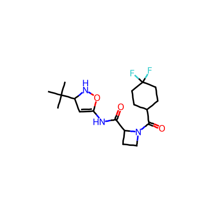 CC(C)(C)C1C=C(NC(=O)C2CCN2C(=O)C2CCC(F)(F)CC2)ON1